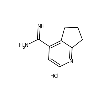 Cl.N=C(N)c1ccnc2c1CCC2